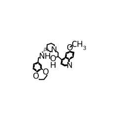 COc1ccc2nccc(C(O)CN3CCC[C@@H](CNCc4ccc5c(c4)OCCCO5)C3)c2c1